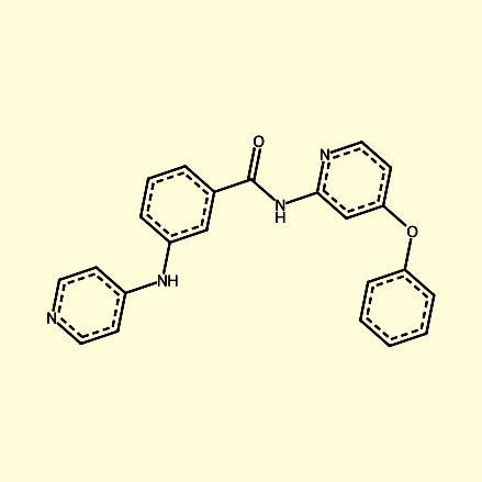 O=C(Nc1cc(Oc2ccccc2)ccn1)c1cccc(Nc2ccncc2)c1